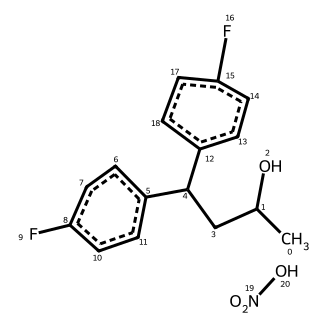 CC(O)CC(c1ccc(F)cc1)c1ccc(F)cc1.O=[N+]([O-])O